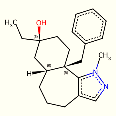 CC[C@]1(O)CC[C@]2(Cc3ccccc3)c3c(cnn3C)CCC[C@@H]2C1